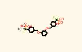 CC(F)(c1ccc(COc2cccc(OCc3ccc(C(F)(F)P(=O)(O)O)cc3)c2)cc1)P(=O)(O)O